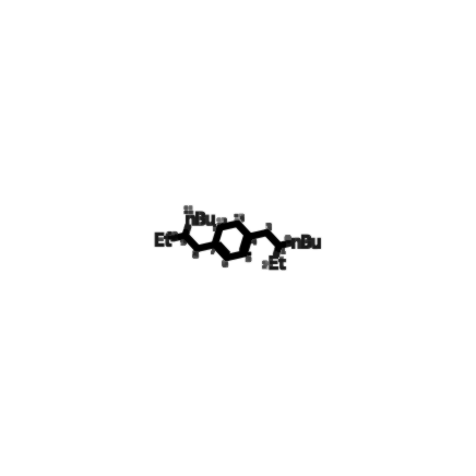 CCCCC(CC)CC1=[C]C=C(CC(CC)CCCC)[C]C1